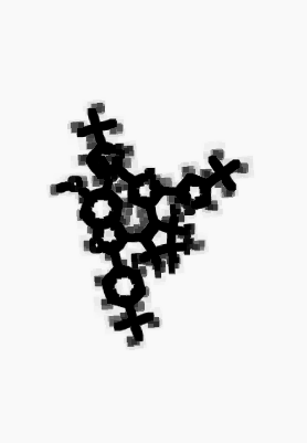 COc1cc2oc(-c3ccc(C(C)(C)C)cc3)c(C3=C(c4cc(-c5ccc(C(C)(C)C)s5)sc4-c4cc(C(C)(C)C)cs4)C(F)(F)C(F)(F)C3(F)F)c2cc1OC